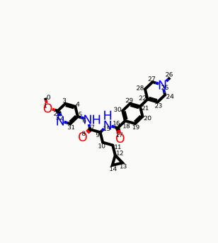 COc1ccc(NC(=O)C(CCC2CC2)NC(=O)c2ccc(C3=CCN(C)CC3)cc2)cn1